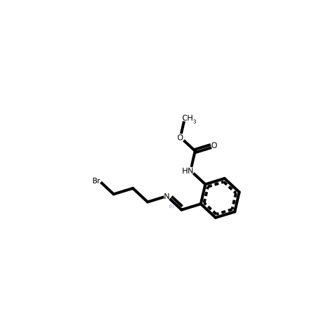 COC(=O)Nc1ccccc1/C=N/CCCBr